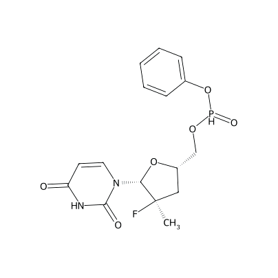 C[C@@]1(F)C[C@@H](CO[PH](=O)Oc2ccccc2)O[C@H]1n1ccc(=O)[nH]c1=O